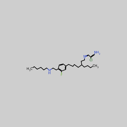 CCCCCCNCCc1ccc(CCCCC(CCCC)CC/N=C\C(Cl)=C/N)cc1F